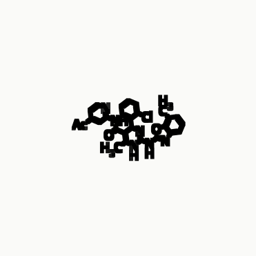 CC(=O)c1ccnc(NC(=O)C2=C(C)NC(Nc3nc4cccc(C)c4o3)=NC2c2ccccc2Cl)c1